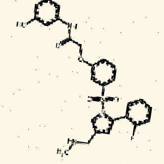 CNCc1cc(-c2ccccc2F)n(S(=O)(=O)c2cccc(OCC(=O)Nc3cccc(O)c3)c2)c1